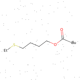 CCSCCCCOC(=O)C(C)CC